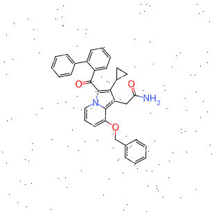 NC(=O)Cc1c(C2CC2)c(C(=O)c2ccccc2-c2ccccc2)n2cccc(OCc3ccccc3)c12